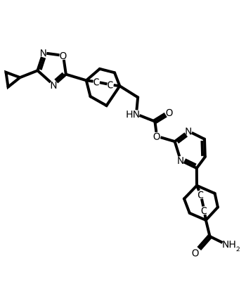 NC(=O)C12CCC(c3ccnc(OC(=O)NCC45CCC(c6nc(C7CC7)no6)(CC4)CC5)n3)(CC1)CC2